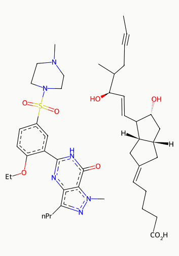 CC#CCC(C)[C@H](O)/C=C/C1[C@H](O)C[C@@H]2C/C(=C\CCCC(=O)O)C[C@H]12.CCCc1nn(C)c2c(=O)[nH]c(-c3cc(S(=O)(=O)N4CCN(C)CC4)ccc3OCC)nc12